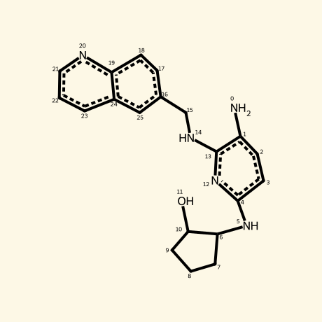 Nc1ccc(NC2CCCC2O)nc1NCc1ccc2ncccc2c1